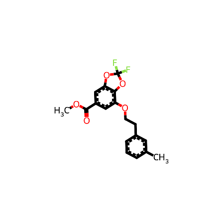 COC(=O)c1cc(OCCc2cccc(C)c2)c2c(c1)OC(F)(F)O2